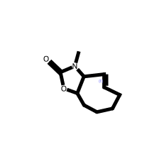 CN1C(=O)OC2CCCC/C=C/C21